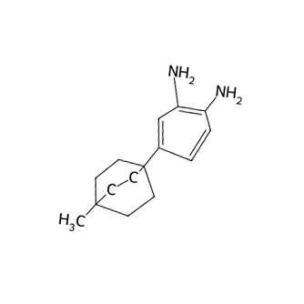 CC12CCC(c3ccc(N)c(N)c3)(CC1)CC2